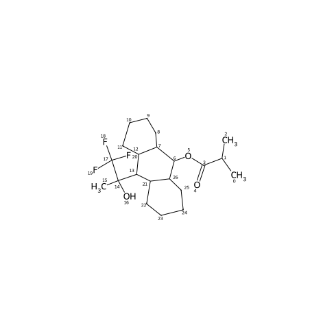 CC(C)C(=O)OC1C2CCCCC2C(C(C)(O)C(F)(F)F)C2CCCCC21